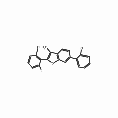 Cc1c(-c2c(Cl)[c]ccc2Cl)oc2cc(-c3ccccc3Cl)ccc12